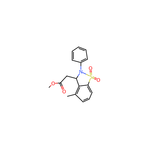 COC(=O)CC1c2c(C)cccc2S(=O)(=O)N1c1ccccc1